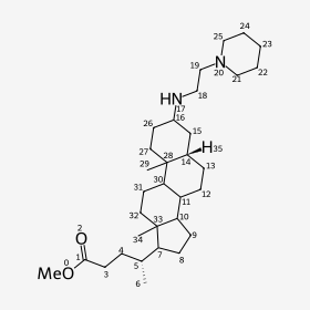 COC(=O)CC[C@@H](C)C1CCC2C3CC[C@H]4CC(NCCN5CCCCC5)CCC4(C)C3CCC21C